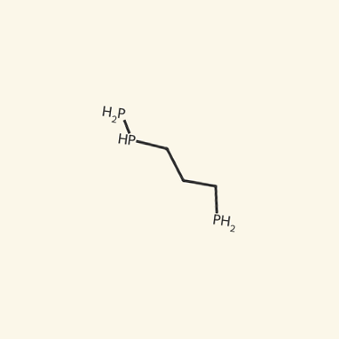 PCCCPP